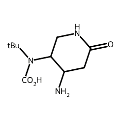 CC(C)(C)N(C(=O)O)C1CNC(=O)CC1N